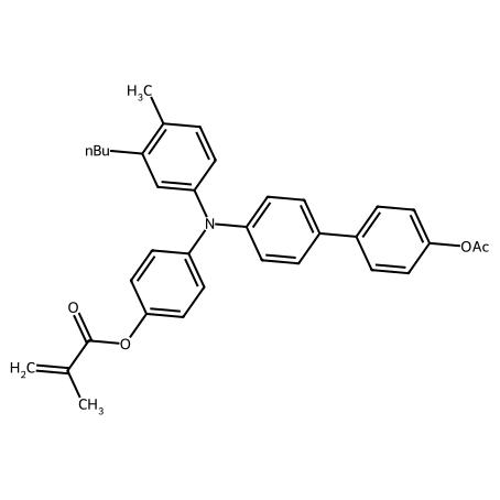 C=C(C)C(=O)Oc1ccc(N(c2ccc(-c3ccc(OC(C)=O)cc3)cc2)c2ccc(C)c(CCCC)c2)cc1